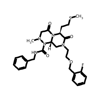 CSCC[C@H]1C(=O)N(CCOCc2ccccc2F)C[C@H]2N1C(=O)CN(C)N2C(=O)NCc1ccccc1